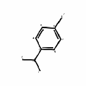 C[C](C)c1ccc(I)cc1